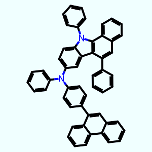 c1ccc(-c2cc3ccccc3c3c2c2cc(N(c4ccccc4)c4ccc(-c5cc6ccccc6c6ccccc56)cc4)ccc2n3-c2ccccc2)cc1